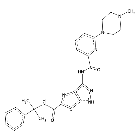 CN1CCN(c2cccc(C(=O)Nc3n[nH]c4sc(C(=O)NC(C)(C)c5ccccc5)nc34)n2)CC1